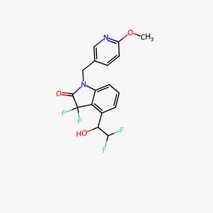 COc1ccc(CN2C(=O)C(F)(F)c3c(C(O)C(F)F)cccc32)cn1